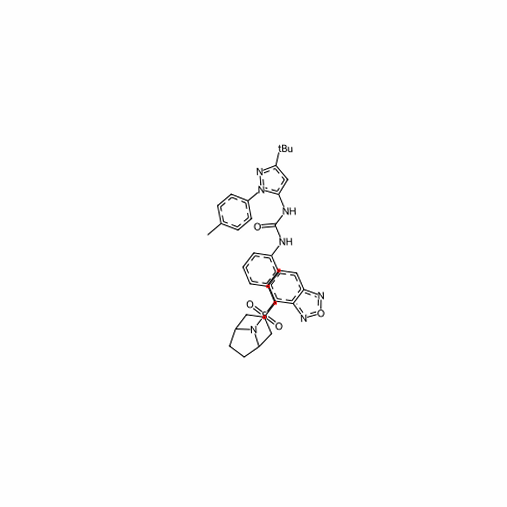 Cc1ccc(-n2nc(C(C)(C)C)cc2NC(=O)Nc2cccc(CC3CC4CCC(C3)N4S(=O)(=O)c3cccc4nonc34)c2)cc1